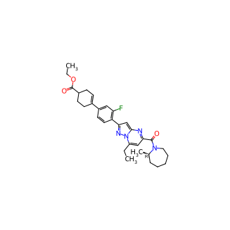 CCOC(=O)C1CC=C(c2ccc(-c3cc4nc(C(=O)N5CCCCC[C@H]5C)cc(CC)n4n3)c(F)c2)CC1